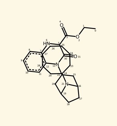 CCOC(=O)C1Nc2ccccc2N(C2CC3CCC(C2)N3C2CCCCCCC2)C1=O